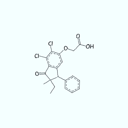 CCC1(C)C(=O)c2c(cc(OCC(=O)O)c(Cl)c2Cl)C1c1ccccc1